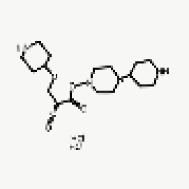 Cl.Cl.O=C=C(COC1CCNCC1)C(=O)ON1CCN(C2CCNCC2)CC1